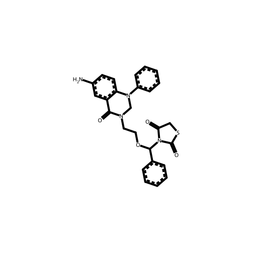 Nc1ccc2c(c1)C(=O)N(CCOC(c1ccccc1)N1C(=O)CSC1=O)CN2c1ccccc1